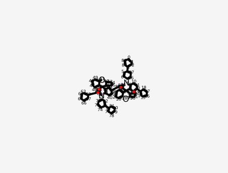 c1ccc(-c2ccc(N3c4ccc(-c5ccccc5)cc4C4(c5ccccc5Oc5ccccc54)c4cc(-c5ccc6c(c5)C5(c7ccccc7Oc7ccccc75)c5ccc(-c7ccccc7)cc5N6c5cccc(-c6ccccc6)c5)ccc43)cc2)cc1